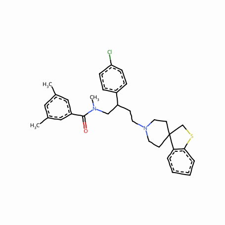 Cc1cc(C)cc(C(=O)N(C)CC(CCN2CCC3(CC2)CSc2ccccc23)c2ccc(Cl)cc2)c1